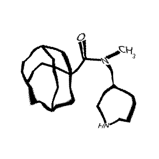 CN(C(=O)C12CC3CC(CC(C3)C1)C2)[C@H]1CCNC1